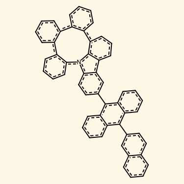 c1ccc2cc(-c3c4ccccc4c(-c4ccc5c(c4)c4cccc6c7ccccc7c7ccccc7c7ccccc7n5c64)c4ccccc34)ccc2c1